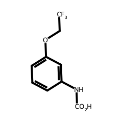 O=C(O)Nc1cccc(OCC(F)(F)F)c1